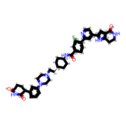 O=C1CCC(c2cccc(N3CCN(CC[C@H]4CC[C@H](NC(=O)c5ccc(-c6cc(-c7cc8c([nH]7)CCNC8=O)ccn6)c(F)c5)CC4)CC3)c2)C(=O)N1